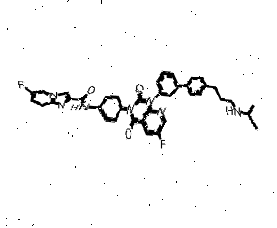 CC(C)NCCCc1ccc(-c2cccc(-n3c(=O)n(C4CCC(NC(=O)c5cn6cc(F)ccc6n5)CC4)c(=O)c4cc(F)cnc43)c2)cc1